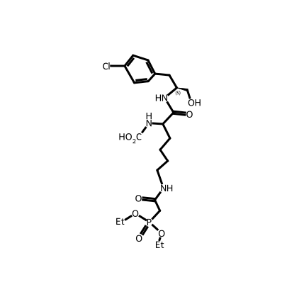 CCOP(=O)(CC(=O)NCCCCC(NC(=O)O)C(=O)N[C@H](CO)Cc1ccc(Cl)cc1)OCC